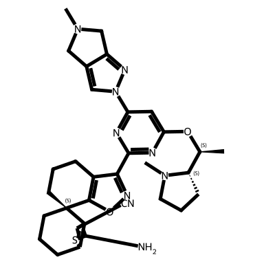 C[C@H](Oc1cc(-n2cc3c(n2)CN(C)C3)nc(-c2noc3c2CCC[C@@]32CCCc3sc(N)c(C#N)c32)n1)[C@@H]1CCCN1C